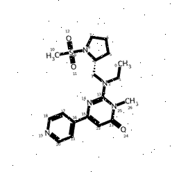 CCN(C[C@H]1CCCN1S(C)(=O)=O)c1nc(-c2ccncc2)cc(=O)n1C